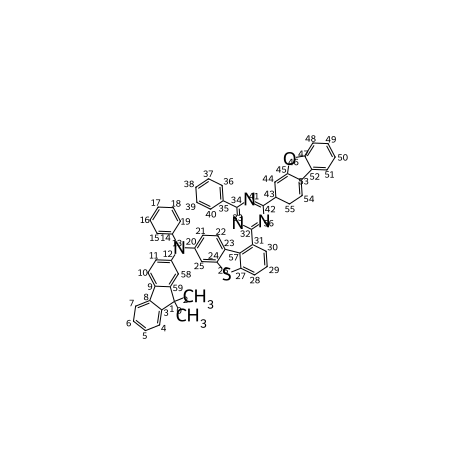 CC1(C)c2ccccc2-c2ccc(N(c3ccccc3)c3ccc4c(c3)sc3cccc(-c5nc(-c6ccccc6)nc(C6C=c7oc8ccccc8c7=CC6)n5)c34)cc21